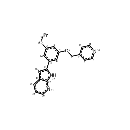 CC(C)Oc1cc(OCc2ccncc2)cc(-c2nc3cccnc3[nH]2)c1